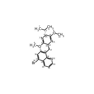 COC1=N[C@H](C(C)C)C(OC)=N[C@H]1Cc1ccc(Br)c2cccnc12